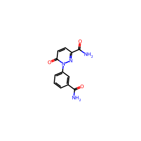 NC(=O)c1cccc(-n2nc(C(N)=O)ccc2=O)c1